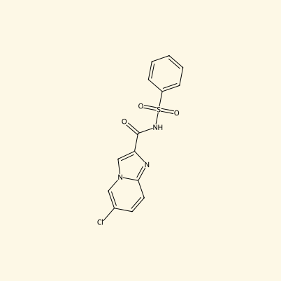 O=C(NS(=O)(=O)c1ccccc1)c1cn2cc(Cl)ccc2n1